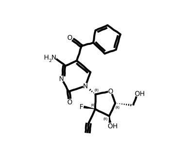 C#C[C@@]1(F)[C@H](O)[C@@H](CO)O[C@H]1n1cc(C(=O)c2ccccc2)c(N)nc1=O